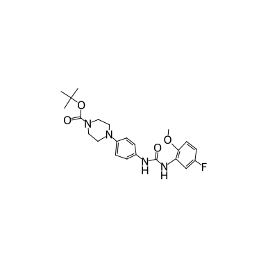 COc1ccc(F)cc1NC(=O)Nc1ccc(N2CCN(C(=O)OC(C)(C)C)CC2)cc1